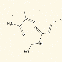 C=C(C)C(N)=O.C=CC(=O)NCO